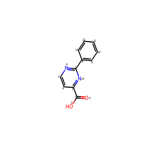 O=C(O)c1ccnc(-c2ccccc2)n1